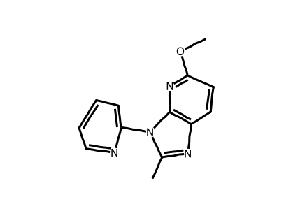 COc1ccc2nc(C)n(-c3ccccn3)c2n1